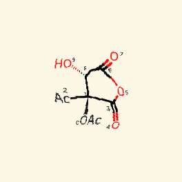 CC(=O)O[C@]1(C(C)=O)C(=O)OC(=O)[C@H]1O